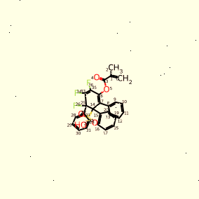 C=C(C)C(=O)OC1=C(c2ccccc2)C(c2ccccc2)(S(=O)(=O)O)C(F)(c2ccccc2)C(F)=C1F